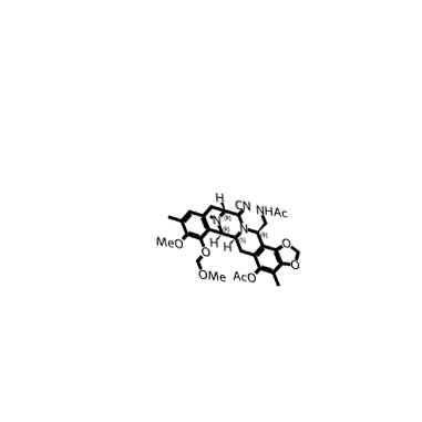 COCOc1c(OC)c(C)cc2c1[C@@H]1[C@@H]3Cc4c(OC(C)=O)c(C)c5c(c4[C@H](CNC(C)=O)N3C(C#N)[C@@H](C2)N1C)OCO5